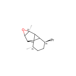 CC(C)[C@H]1CC[C@H](C)[C@]23CC4O[C@@]4(C)C2C13